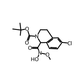 CON(O)C(=O)C1c2ccc(Cl)cc2CCN1C(=O)OC(C)(C)C